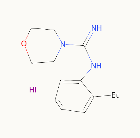 CCc1ccccc1NC(=N)N1CCOCC1.I